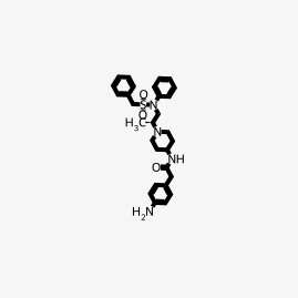 C[C@H](CN(c1ccccc1)S(=O)(=O)Cc1ccccc1)N1CCC(NC(=O)Cc2ccc(N)cc2)CC1